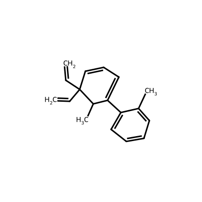 C=CC1(C=C)C=CC=C(c2ccccc2C)C1C